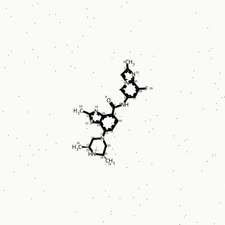 Cc1cn2cc(NC(=O)c3ccc(N4C[C@H](C)N[C@@H](C)C4)c4sc(C)nc34)cc(F)c2n1